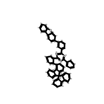 c1ccc(-c2nc(-c3cccc(-c4ccc5c(c4)oc4ccccc45)c3)nc(-c3ccccc3-c3cccc4c3-c3ccccc3C43c4ccccc4-c4ccccc43)n2)cc1